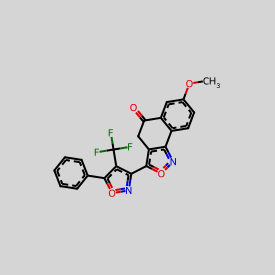 COc1ccc2c(c1)C(=O)Cc1c-2noc1-c1noc(-c2ccccc2)c1C(F)(F)F